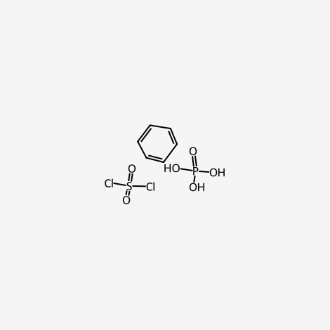 O=P(O)(O)O.O=S(=O)(Cl)Cl.c1ccccc1